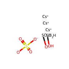 O=S(=O)(O)O.O=S(=O)([O-])O.O=S(=O)([O-])[O-].[Cs+].[Cs+].[Cs+]